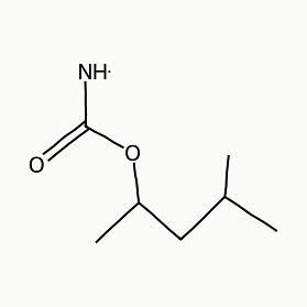 CC(C)CC(C)OC([NH])=O